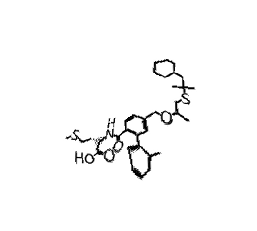 CSCC[C@H](NC(=O)c1ccc(COC(C)CSC(C)(C)CC2CCCCC2)cc1-c1ccccc1C)C(=O)O